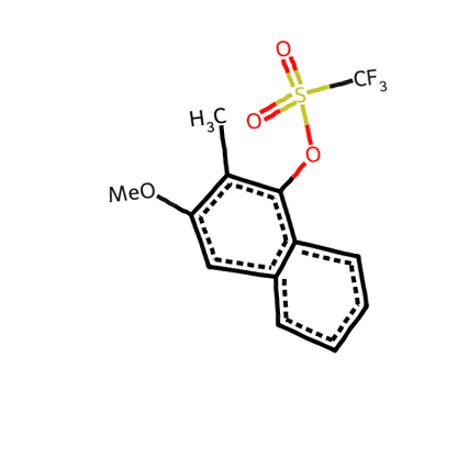 COc1cc2ccccc2c(OS(=O)(=O)C(F)(F)F)c1C